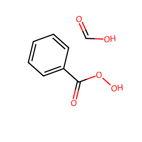 O=C(OO)c1ccccc1.O=CO